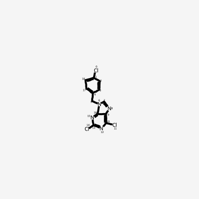 Clc1ccc(Cn2cnc3c(Cl)nc(Cl)nc32)cc1